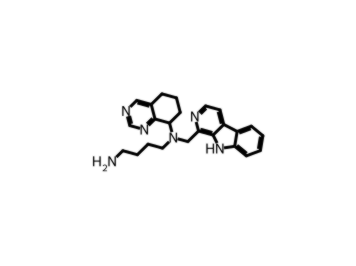 NCCCCN(Cc1nccc2c1[nH]c1ccccc12)C1CCCc2cncnc21